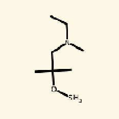 CCN(C)CC(C)(C)O[SiH3]